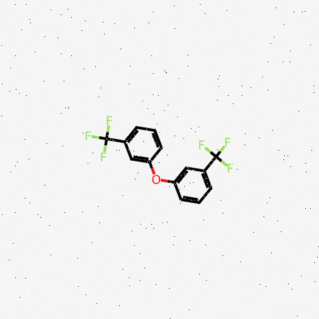 FC(F)(F)c1cccc(Oc2cccc(C(F)(F)F)c2)c1